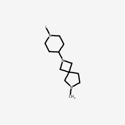 CN1CCC2(C1)CN(C1CCN(I)CC1)C2